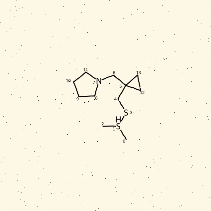 C[SH](C)SCC1(CN2CCCC2)CC1